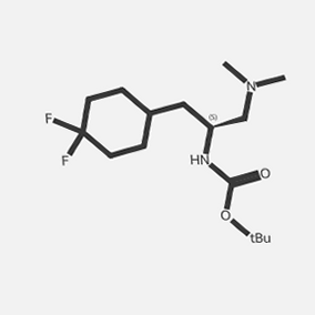 CN(C)C[C@H](CC1CCC(F)(F)CC1)NC(=O)OC(C)(C)C